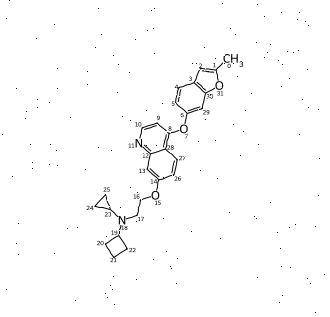 Cc1cc2ccc(Oc3ccnc4cc(OCCN(C5CCC5)C5CC5)ccc34)cc2o1